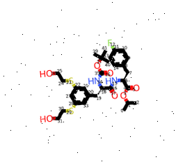 CC(C)OC(=O)[C@H](Cc1ccc(F)cc1)NC(=O)[C@H](Cc1cc(SCCO)cc(SCCO)c1)NC(=O)OC(C)(C)C